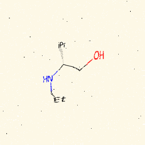 CCN[C@@H](CO)C(C)C